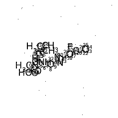 C[C@@H](NC(=O)[C@H](Cc1ccc(-c2ncc(-c3ccc(OCc4ccccc4)c(F)c3)cn2)cc1)NC(=O)c1ccc(C(C)(C)C)s1)C(=O)O